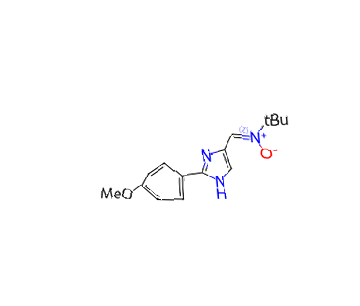 COc1ccc(-c2nc(/C=[N+](\[O-])C(C)(C)C)c[nH]2)cc1